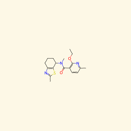 CCOc1nc(C)ccc1C(=O)N(C)C1CCCc2nc(C)sc21